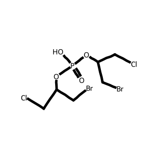 O=P(O)(OC(CCl)CBr)OC(CCl)CBr